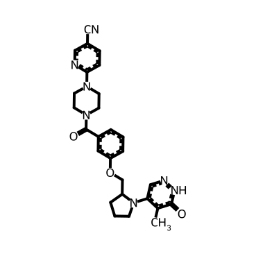 Cc1c(N2CCCC2COc2cccc(C(=O)N3CCN(c4ccc(C#N)cn4)CC3)c2)cn[nH]c1=O